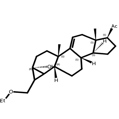 CCOCC1C2[C@H]3CC[C@@H]4C(=CC[C@]5(C)[C@@H](C(C)=O)CC[C@@H]45)[C@@]3(C)CC[C@]12O